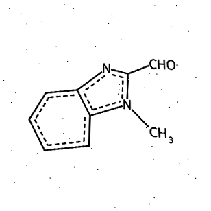 Cn1c([C]=O)nc2ccccc21